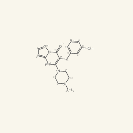 CN1CCN(c2[nH]c3ncnn3c(=O)c2Cc2cccc(Cl)c2)CC1